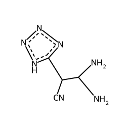 N#CC(c1nnn[nH]1)C(N)N